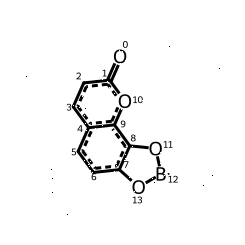 O=c1ccc2ccc3c(c2o1)O[B]O3